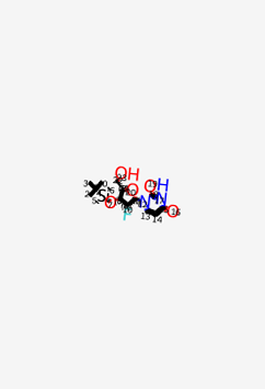 CC(C)(C)[Si](C)(C)O[C@@H]1[C@@H](F)[C@H](n2ccc(=O)[nH]c2=O)O[C@@H]1CO